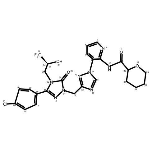 O=C(Nc1ncccc1-n1cnc(Cn2nc(-c3ccc(Cl)cc3)n(C[C@H](O)C(F)(F)F)c2=O)n1)C1CCCCO1